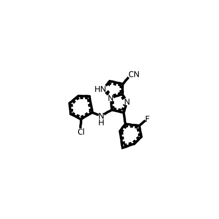 N#Cc1c[nH]n2c(Nc3ccccc3Cl)c(-c3ccccc3F)nc12